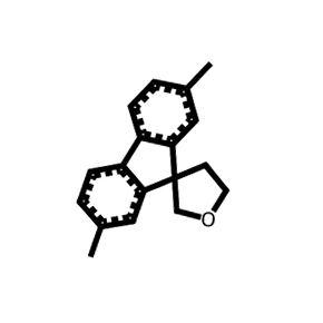 Cc1ccc2c(c1)C1(CCOC1)c1cc(C)ccc1-2